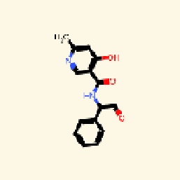 Cc1cc(O)c(C(=O)NC(C=O)c2ccccc2)cn1